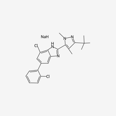 Cc1c(C(C)(C)C)nn(C)c1-c1nc2cc(-c3ccccc3Cl)cc(Cl)c2[nH]1.[NaH]